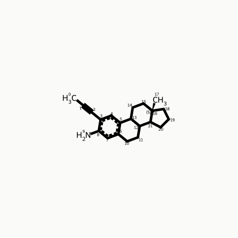 CC#Cc1cc2c(cc1N)CCC1C2CC[C@]2(C)CCCC12